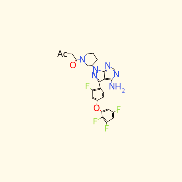 CC(=O)CC(=O)N1CCCC(n2nc(-c3ccc(Oc4cc(F)cc(F)c4F)cc3F)c3c(N)ncnc32)C1